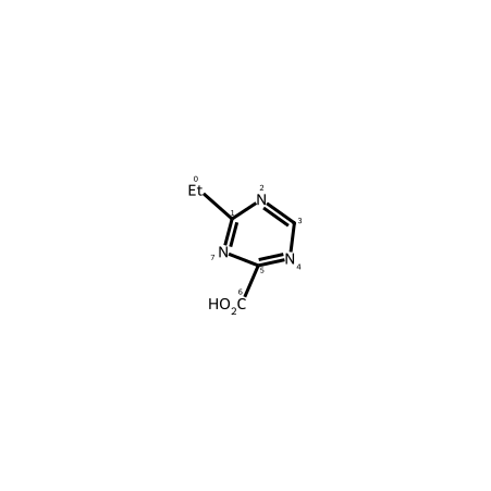 CCc1ncnc(C(=O)O)n1